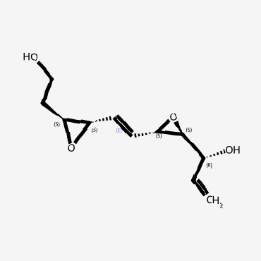 C=C[C@@H](O)[C@@H]1O[C@H]1/C=C/[C@@H]1O[C@H]1CCO